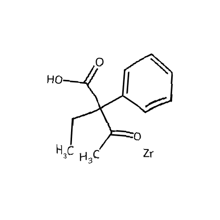 CCC(C(C)=O)(C(=O)O)c1ccccc1.[Zr]